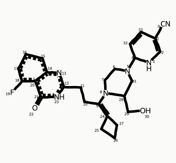 N#CC1=CNC(N2CCN(C(CCc3nc4cccc(F)c4c(=O)[nH]3)=C3CCC3)C(CO)C2)C=C1